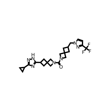 O=C(N1CC2(CC(Cn3ccc(C(F)(F)F)n3)C2)C1)N1CC2(CC(c3nc(C4CC4)n[nH]3)C2)C1